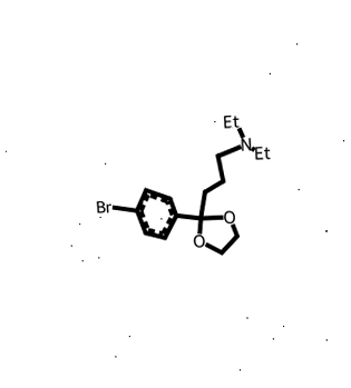 CCN(CC)CCCC1(c2ccc(Br)cc2)OCCO1